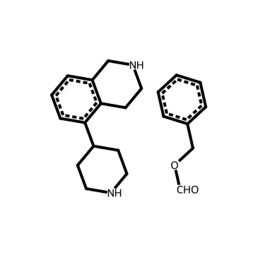 O=COCc1ccccc1.c1cc2c(c(C3CCNCC3)c1)CCNC2